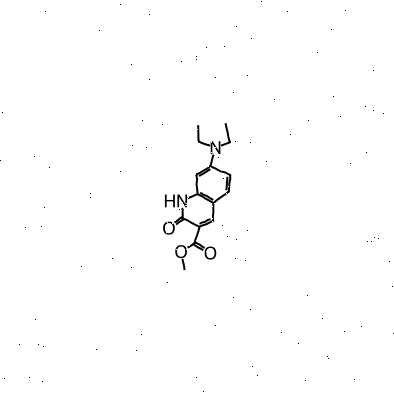 CCN(CC)c1ccc2cc(C(=O)OC)c(=O)[nH]c2c1